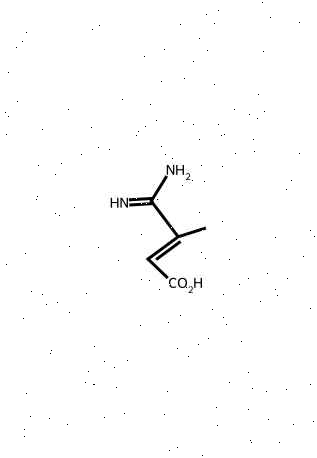 C/C(=C\C(=O)O)C(=N)N